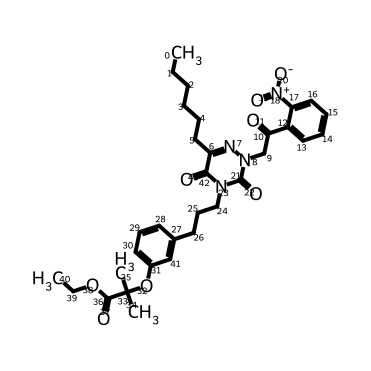 CCCCCCc1nn(CC(=O)c2ccccc2[N+](=O)[O-])c(=O)n(CCCc2cccc(OC(C)(C)C(=O)OCC)c2)c1=O